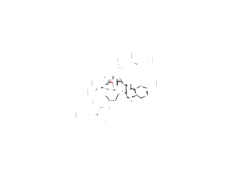 C=C(C)C(=O)OC1=CC(CC)(C(C)(C)C)C(O)(C(=O)OCC(CC)CCCC)C(n2nc3ccc(Cl)cc3n2)=C1